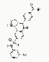 CC(=O)c1cccc(NS(=O)(=O)c2ccc3c(c2)C2NCCC2C(c2ccc(C(=O)C(C)C)cc2)N3)c1